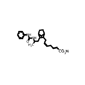 CC(CC1C2CCC(C2)C1C/C=C\CCCC(=O)O)NC(=O)Nc1ccccc1